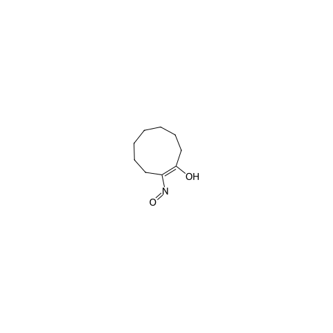 O=N/C1=C(\O)CCCCCCC1